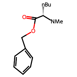 CCCC[C@H](NC)C(=O)OCc1ccccc1